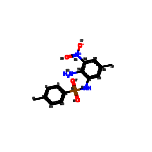 Cc1ccc(S(=O)(=O)Nc2cc(C)cc([N+](=O)[O-])c2N)cc1